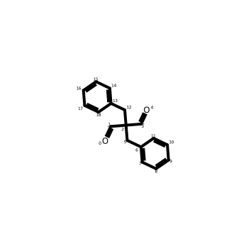 O=[C]C([C]=O)(Cc1ccccc1)Cc1ccccc1